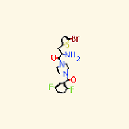 NC(Cc1ccc(Br)s1)C(=O)N1CCN(C(=O)c2cc(F)ccc2F)CC1